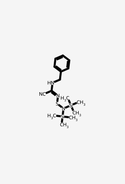 C[Si](C)(C)N(SN=C(C#N)NCc1ccccc1)[Si](C)(C)C